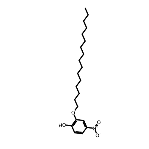 CCCCCCCCCCCCCCCCOc1cc([N+](=O)[O-])ccc1O